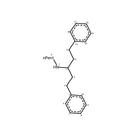 [CH2]CC[CH]CNC(CCc1ccccc1)CCc1ccccc1